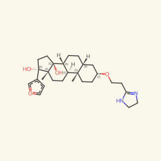 C[C@]12CC[C@H](OCCC3=NCCN3)C[C@H]1CC[C@@H]1[C@@H]2CC[C@]2(C)[C@@](O)(c3ccoc3)CC[C@]12O